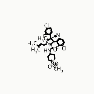 CC(C)=CCN1[C@@H](C(=O)NC2CCN(S(C)(=O)=O)CC2)[C@H](c2cccc(Cl)c2F)[C@@](C#N)(c2ccc(Cl)cc2F)[C@H]1C